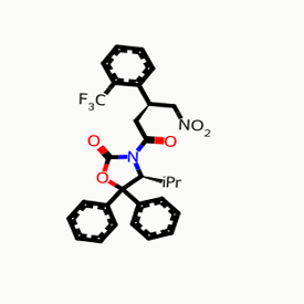 CC(C)[C@@H]1N(C(=O)C[C@H](C[N+](=O)[O-])c2ccccc2C(F)(F)F)C(=O)OC1(c1ccccc1)c1ccccc1